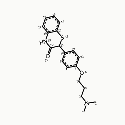 CN(C)CCCOc1ccc(C2Sc3ccccc3NC2=O)cc1